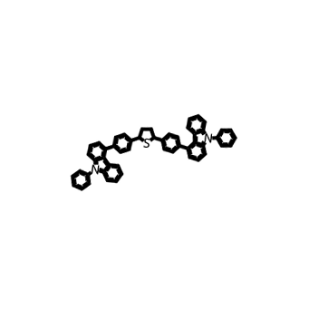 c1ccc(-n2c3ccccc3c3c(-c4ccc(C5CCC(c6ccc(-c7cccc8c7c7ccccc7n8-c7ccccc7)cc6)S5)cc4)cccc32)cc1